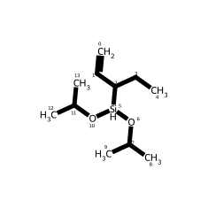 C=CC(CC)[SiH](OC(C)C)OC(C)C